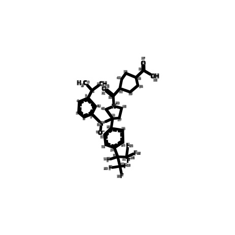 CC(C)c1cccc([S+]([O-])C2(c3ccc(C(F)(C(F)(F)F)C(F)(F)F)cc3)CCN(C(=O)C3CCC(C(=O)O)CC3)C2)c1